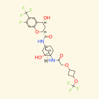 O=C(COC1CC(OC(F)(F)F)C1)NC12CCC(NC(=O)[C@H]3C[C@@H](O)c4cc(C(F)(F)F)c(F)cc4O3)(CC1)C[C@@H]2O